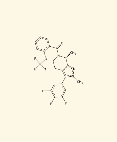 C[C@H]1c2nn(C)c(-c3cc(F)c(F)c(F)c3)c2CCN1C(=O)c1ccccc1OC(F)(F)F